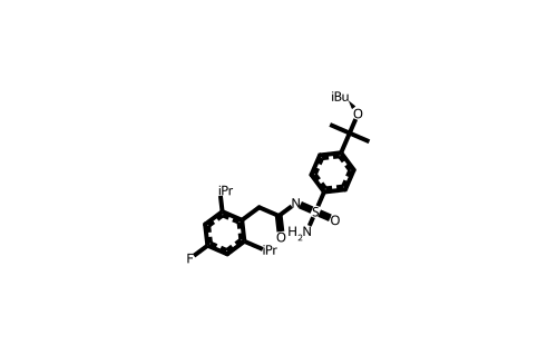 CC[C@H](C)OC(C)(C)c1ccc(S(N)(=O)=NC(=O)Cc2c(C(C)C)cc(F)cc2C(C)C)cc1